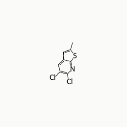 Cc1cc2cc(Cl)c(Cl)nc2s1